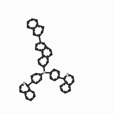 c1ccc2cc(-c3ccc4c(ccc5cc(N(c6ccc(-c7nccc8ccccc78)cc6)c6ccc(-c7nccc8ccccc78)cc6)ccc54)c3)ccc2c1